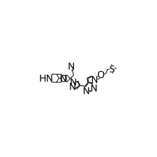 CS(C)(C)CCOCn1ccc2c(-c3cnn(C4(CC#N)CN(C5C6CNCC5COC6)C4)c3)ncnc21